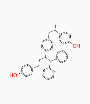 CC(Cc1ccc(C(CCc2ccc(O)cc2)C(c2ccccc2)c2ccccc2)cc1)c1ccc(O)cc1